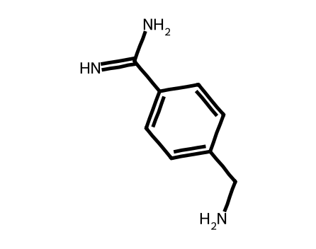 N=C(N)c1ccc(CN)cc1